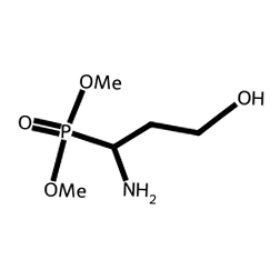 COP(=O)(OC)C(N)CCO